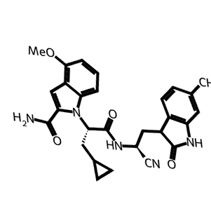 COc1cccc2c1cc(C(N)=O)n2[C@@H](CC1CC1)C(=O)N[C@H](C#N)CC1C(=O)Nc2cc(C)ccc21